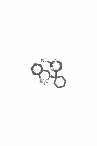 N#Cc1nccc(C2(N(Cc3ccccc3Br)C(=O)O)CCCCC2)n1